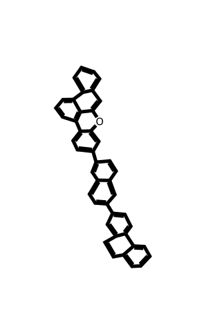 c1ccc2c(c1)ccc1cc(-c3ccc4cc(-c5ccc6c(c5)Oc5cc7ccccc7c7cccc-6c57)ccc4c3)ccc12